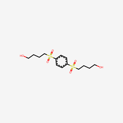 O=S(=O)(CCCCO)c1ccc(S(=O)(=O)CCCCO)cc1